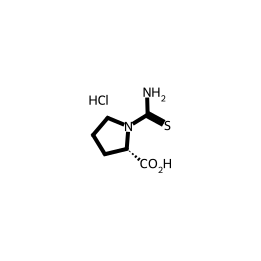 Cl.NC(=S)N1CCC[C@H]1C(=O)O